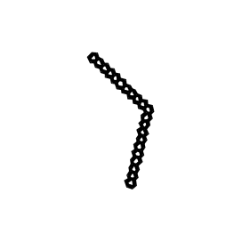 c1ccc2cc3cc4cc5cc6cc7cc8cc9cc%10cc%11c(ccc%12cc%13cc%14cc%15cc%16cc%17cc%18cc%19cc%20cc%21ccccc%21cc%20cc%19cc%18cc%17cc%16cc%15cc%14cc%13cc%12%11)cc%10cc9cc8cc7cc6cc5cc4cc3cc2c1